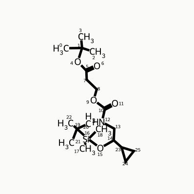 CC(C)(C)OC(=O)CCOC(=O)NCC(O[Si](C)(C)C(C)(C)C)C1CC1